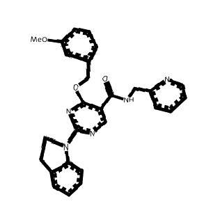 COc1cccc(COc2nc(N3CCc4ccccc43)ncc2C(=O)NCc2ccccn2)c1